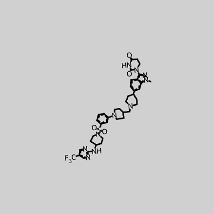 Cn1nc(N2CCC(=O)NC2=O)c2ccc(C3CCN(CC4CCN(c5cccc(S(=O)(=O)N6CCC(Nc7ncc(C(F)(F)F)cn7)CC6)c5)CC4)CC3)cc21